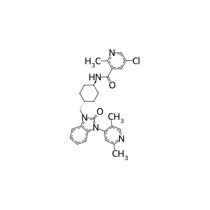 Cc1cc(-n2c(=O)n(C[C@H]3CC[C@H](NC(=O)c4cc(Cl)cnc4C)CC3)c3ccccc32)c(C)cn1